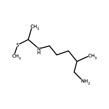 CSC(C)NCCCC(C)CN